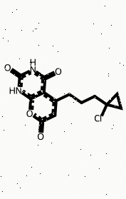 O=c1[nH]c(=O)c2c(CCCC3(Cl)CC3)cc(=O)oc2[nH]1